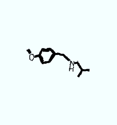 COc1ccc(CN[CH]C(C)C)cc1